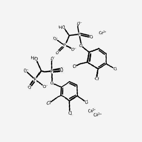 O=P([O-])([O-])C(O)P(=O)([O-])Oc1ccc(Cl)c(Cl)c1Cl.O=P([O-])([O-])C(O)P(=O)([O-])Oc1ccc(Cl)c(Cl)c1Cl.[Ca+2].[Ca+2].[Ca+2]